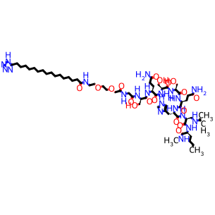 CCCC[C@H](NC(=O)[C@H](CNC(C)C)NC(=O)[C@H](Cc1c[nH]cn1)NC(=O)[C@H](CCC(N)=O)NC(=O)[C@H](CO)NC(=O)[C@H](CO)NC(=O)[C@H](CCC(N)=O)NC(=O)[C@@H](CO)NC(=O)CNC(=O)COCCOCCNC(=O)CCCCCCCCCCCCCCCc1nnn[nH]1)C(=O)NC